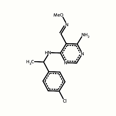 CON=Cc1c(N)ncnc1NC(C)c1ccc(Cl)cc1